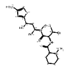 CCCN(C(=O)C(NC(=O)C1CCCCN1C)C(CC)CC)[C@H](C[C@@H](O)c1nc(C(=O)O)cs1)C(C)C